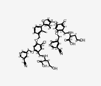 Cc1c(COc2cc(OCc3cncc(C#N)c3)c(CNC(CCO)C(=O)O)cc2Cl)cccc1-c1occ(Oc2cc(OCc3cncc(C#N)c3)c(CNC(CCO)C(=O)O)cc2Cl)c1C